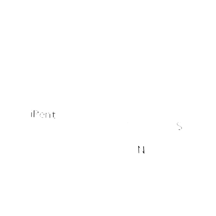 CCCC(C)Cc1cccc2scnc12